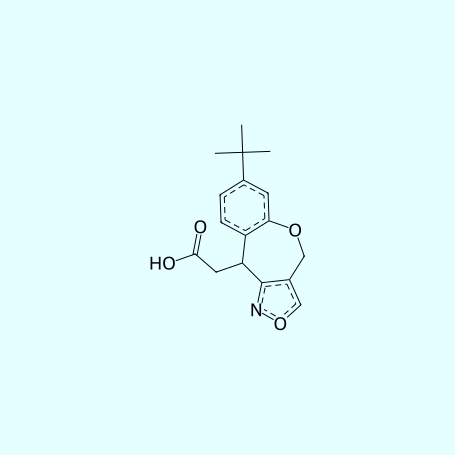 CC(C)(C)c1ccc2c(c1)OCc1conc1C2CC(=O)O